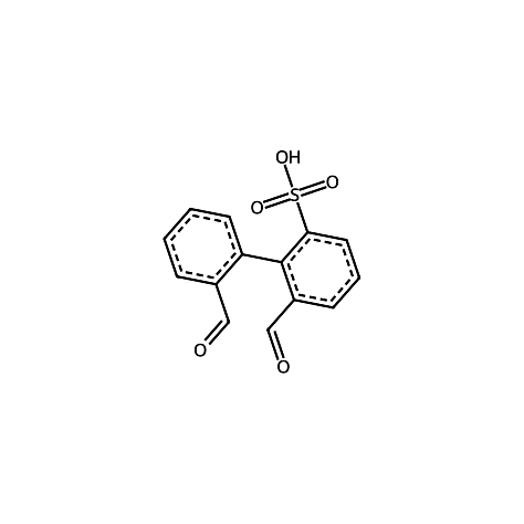 O=Cc1ccccc1-c1c(C=O)cccc1S(=O)(=O)O